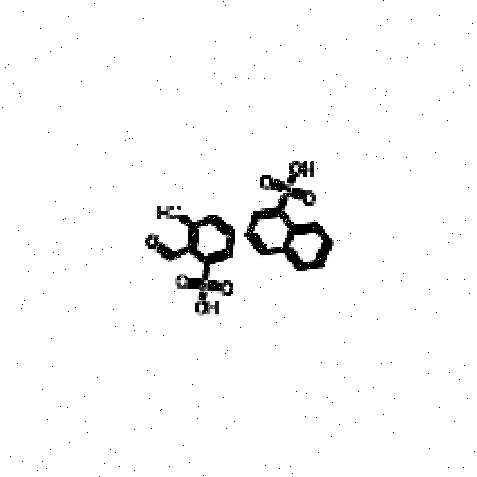 O=Cc1c(O)cccc1S(=O)(=O)O.O=S(=O)(O)c1cccc2ccccc12